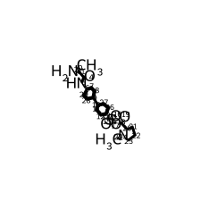 C[C@H](N)C(=O)Nc1ccc(-c2ccc(S(=O)(=O)OC(=O)C3CCCN3C)cc2)cc1